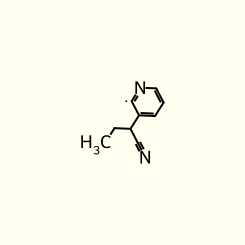 CCC(C#N)c1[c]nccc1